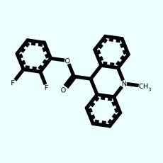 CN1c2ccccc2C(C(=O)Oc2cccc(F)c2F)c2ccccc21